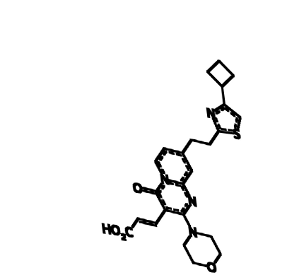 O=C(O)C=Cc1c(N2CCOCC2)nc2cc(CCc3nc(C4CCC4)cs3)ccn2c1=O